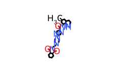 Cc1cc(NC(=O)c2cnc(N3CCN(CCN4C(=O)c5ccccc5C4=O)CC3)cn2)c2ncccc2c1